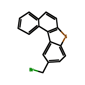 BrCc1ccc2sc3ccc4ccccc4c3c2c1